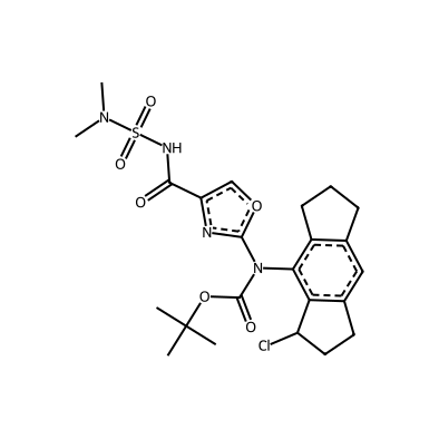 CN(C)S(=O)(=O)NC(=O)c1coc(N(C(=O)OC(C)(C)C)c2c3c(cc4c2C(Cl)CC4)CCC3)n1